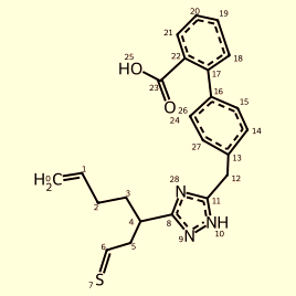 C=CCCC(CC=S)c1n[nH]c(Cc2ccc(-c3ccccc3C(=O)O)cc2)n1